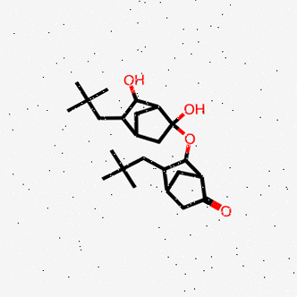 CC(C)(C)CC1C2CC(C1O)C(O)(OC1C3CC(CC3=O)C1CC(C)(C)C)C2